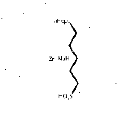 CCCCCCCCCCCCS(=O)(=O)O.[NaH].[Zr]